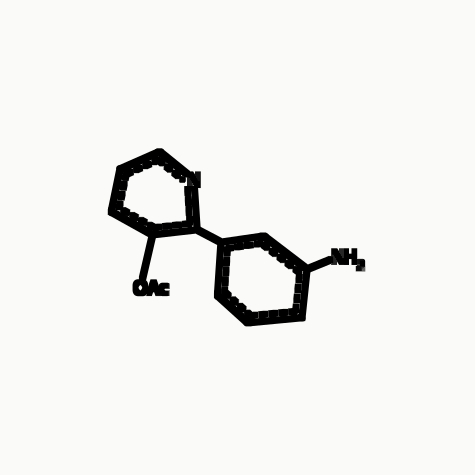 CC(=O)Oc1cccnc1-c1cccc(N)c1